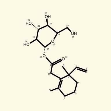 C=CC1(C)CCCC(C)=C1CC(=O)O[C@H]1OC(CO)[C@H](O)[C@@H](O)C1O